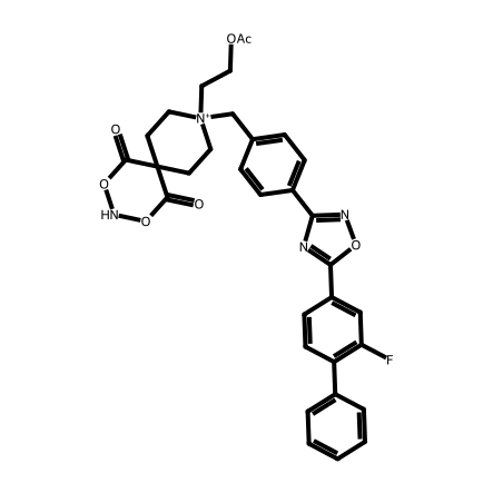 CC(=O)OCC[N+]1(Cc2ccc(-c3noc(-c4ccc(-c5ccccc5)c(F)c4)n3)cc2)CCC2(CC1)C(=O)ONOC2=O